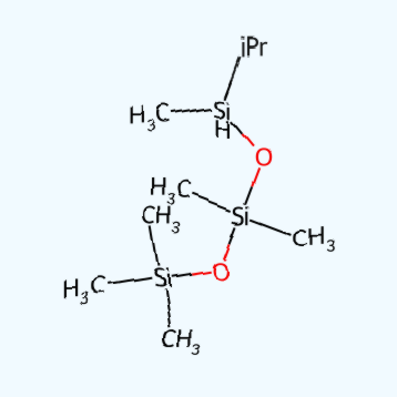 CC(C)[SiH](C)O[Si](C)(C)O[Si](C)(C)C